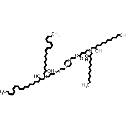 CC/C=C\C/C=C\C/C=C\CCCCCCC(O)CN(CCCSSCCN1CCN(CCOC(=O)CCCN(CC(O)CCCCCCCCCC)CC(O)CCCCCCCCCC)CC1)CC(O)CCCCCC/C=C\C/C=C\C/C=C\CC